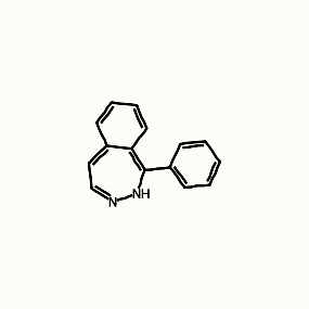 C1=NNC(c2ccccc2)=c2ccccc2=C1